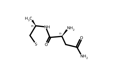 C[C@H](C[S])NC(=O)[C@@H](N)CC(N)=O